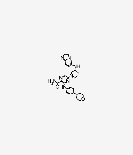 NC(=O)c1ncc(N2CCC[C@@H](Nc3ccc4nccn4c3)C2)nc1Nc1ccc(C2CCOCC2)cc1